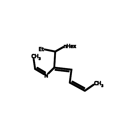 C\C=C/C=C(\N=C/C)C(CC)CCCCCC